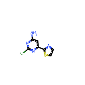 Nc1cc(-c2nccs2)nc(Cl)n1